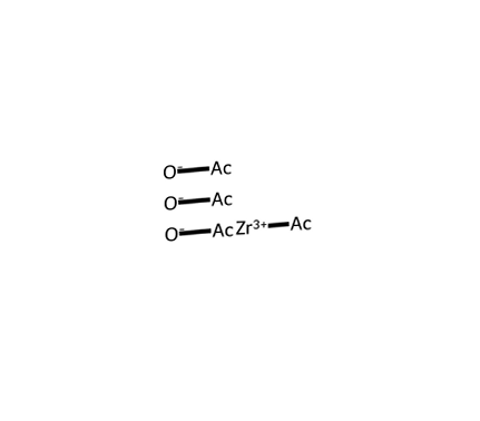 CC(=O)[O-].CC(=O)[O-].CC(=O)[O-].C[C](=O)[Zr+3]